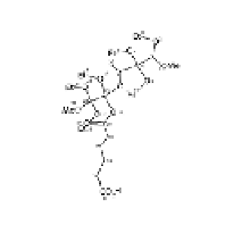 CCOC(OC)C(OCC)(OCC)C(C)OC(OCC)(OC(=O)CCCCC(=O)O)C(OC)(OCC)OCC